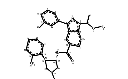 CCOC(C)n1nc(-c2ccnc(C)c2)c2cc(C(=O)N[C@@H]3CN(C)C[C@H]3c3ccccc3C(F)(F)F)cnc21